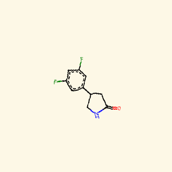 O=C1CC(c2cc(F)cc(F)c2)CN1